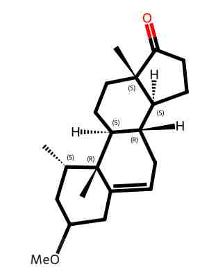 COC1CC2=CC[C@@H]3[C@H](CC[C@]4(C)C(=O)CC[C@@H]34)[C@@]2(C)[C@@H](C)C1